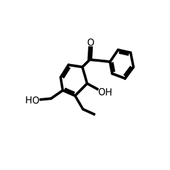 CCC1=C(CO)C=CC(C(=O)c2ccccc2)C1O